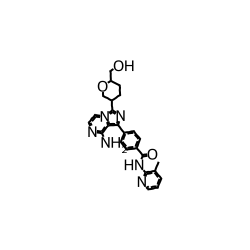 Cc1cccnc1NC(=O)c1ccc(-c2nc(C3CCC(CO)OC3)n3ccnc(N)c23)cc1